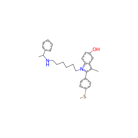 CSc1ccc(-c2c(C)c3cc(O)ccc3n2CCCCCCNC(C)c2ccccc2)cc1